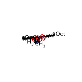 CCCCCCCC/C=C\CCCCCCCC(=O)OCC[N+](CCOC(=O)CCCCCCC/C=C\CCCCCCCC)C(=O)CCN(C)C